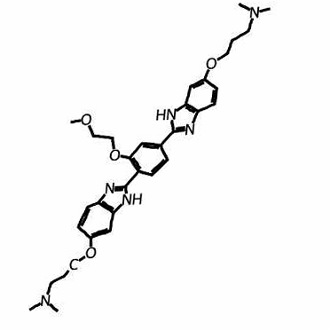 COCCOc1cc(-c2nc3ccc(OCCCN(C)C)cc3[nH]2)ccc1-c1nc2ccc(OCCCN(C)C)cc2[nH]1